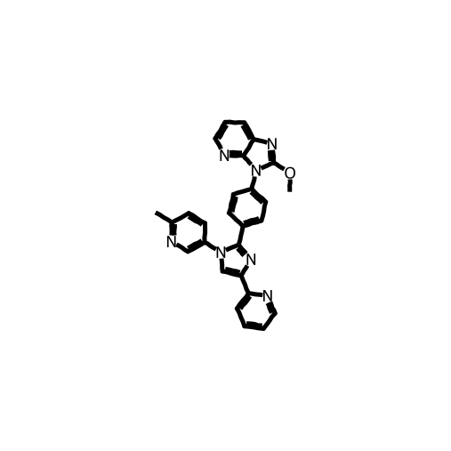 COc1nc2cccnc2n1-c1ccc(-c2nc(-c3ccccn3)cn2-c2ccc(C)nc2)cc1